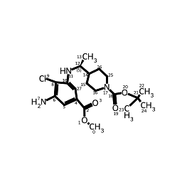 COC(=O)c1cc(N)c(Cl)c(N[C@@H](C)C2CCN(C(=O)OC(C)(C)C)CC2)c1